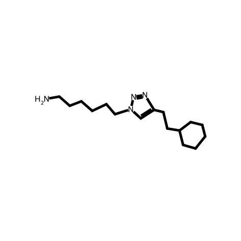 NCCCCCCn1cc(CCC2CCCCC2)nn1